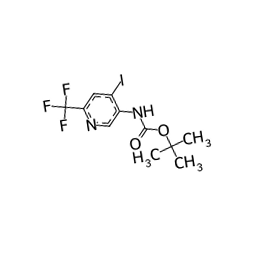 CC(C)(C)OC(=O)Nc1cnc(C(F)(F)F)cc1I